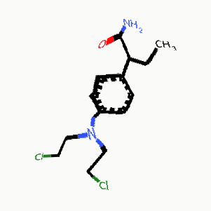 CCC(C(N)=O)c1ccc(N(CCCl)CCCl)cc1